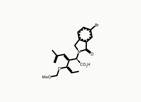 C=C(C)/C=C(\C(=C/C)OCOC)[C@H](C(=O)O)N1Cc2ccc(Br)cc2C1=O